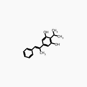 C/C(=C\c1ccccc1)c1cc(O)c(C(C)C)c(O)c1